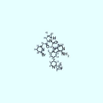 Cc1cc(-c2ccnc(C(F)(F)F)c2)cc2c3c(N)ncnc3n(CC(=O)N3[C@H](C(=O)Cc4cccc(Br)n4)C[C@@]4(C)C[C@@H]34)c12